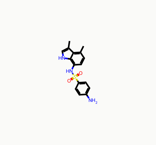 Cc1ccc(NS(=O)(=O)c2ccc(N)cc2)c2[nH]cc(C)c12